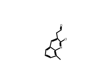 Cc1cccc2cc(CC=O)c(Cl)nc12